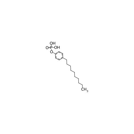 CCCCCCCCCCc1ccc(OP(=O)(O)O)cc1